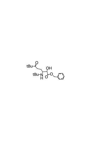 CC(C)(C)NC(CCC(=O)C(C)(C)C)C(O)C(=O)OCc1ccccc1